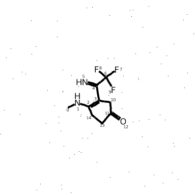 CNC1=C(C(=N)C(F)(F)F)CC(=O)CC1